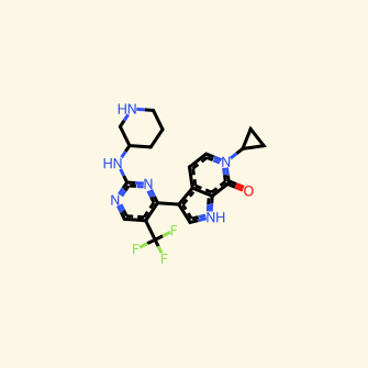 O=c1c2[nH]cc(-c3nc(NC4CCCNC4)ncc3C(F)(F)F)c2ccn1C1CC1